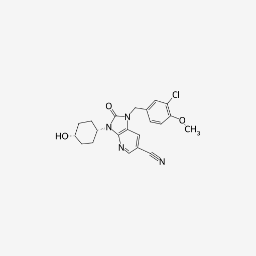 COc1ccc(Cn2c(=O)n([C@H]3CC[C@@H](O)CC3)c3ncc(C#N)cc32)cc1Cl